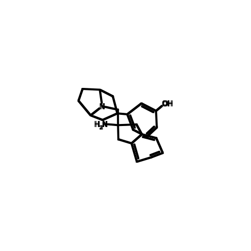 NC1(CN2C3CCC2CC(c2cccc(O)c2)C3)Cc2ccccc2C1